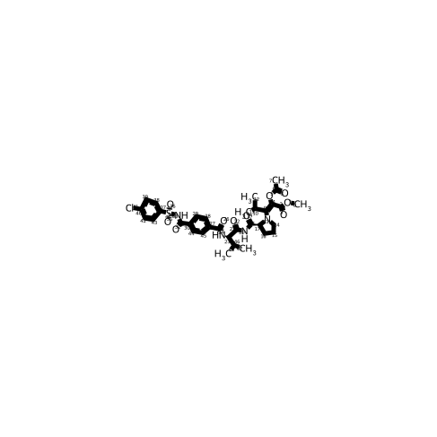 COC(=O)/C(OC(C)=O)=C(/C(C)C)N1CCC[C@H]1C(=O)NC(=O)[C@@H](NC(=O)c1ccc(C(=O)NS(=O)(=O)c2ccc(Cl)cc2)cc1)C(C)C